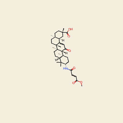 COC(=O)/C=C/C(=O)N[C@H]1CC[C@]2(C)[C@H]3C(=O)C=C4[C@@H]5C[C@@](C)(C(=O)O)CC[C@]5(C)CC[C@@]4(C)[C@]3(C)CC[C@H]2C1(C)C